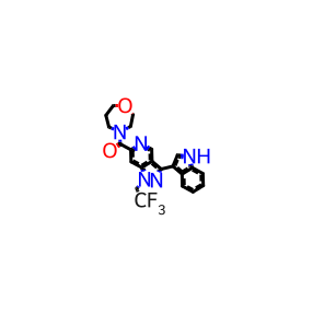 O=C(c1cc2c(cn1)c(-c1c[nH]c3ccccc13)nn2CC(F)(F)F)N1CCCOCC1